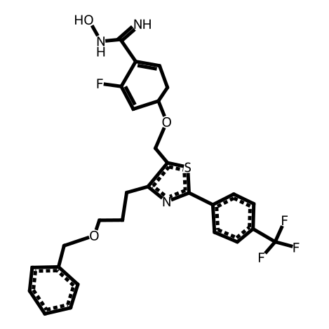 N=C(NO)C1=CCC(OCc2sc(-c3ccc(C(F)(F)F)cc3)nc2CCCOCc2ccccc2)C=C1F